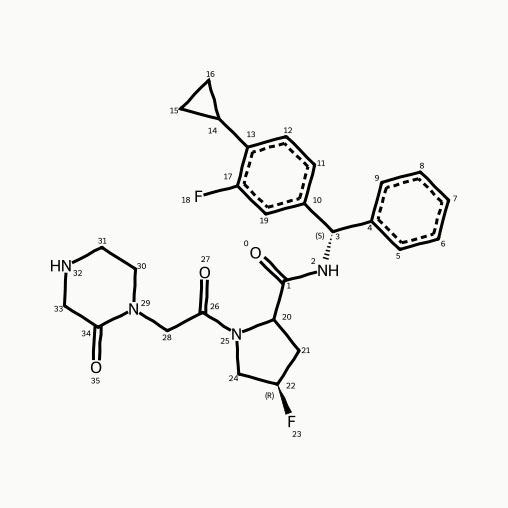 O=C(N[C@@H](c1ccccc1)c1ccc(C2CC2)c(F)c1)C1C[C@@H](F)CN1C(=O)CN1CCNCC1=O